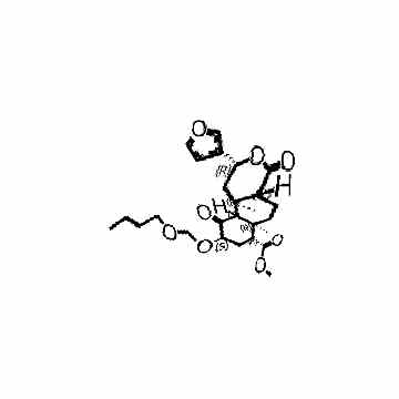 CCCCOCO[C@H]1C[C@@H](C(=O)OC)[C@]2(C)CC[C@H]3C(=O)O[C@@H](c4ccoc4)C[C@]3(C)[C@H]2C1=O